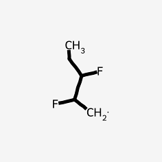 [CH2]C(F)C(F)CC